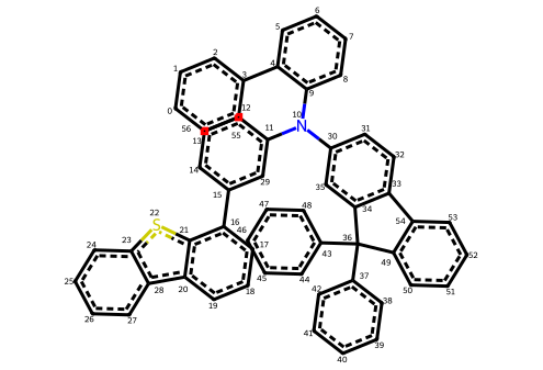 c1ccc(-c2ccccc2N(c2cccc(-c3cccc4c3sc3ccccc34)c2)c2ccc3c(c2)C(c2ccccc2)(c2ccccc2)c2ccccc2-3)cc1